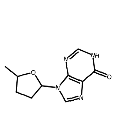 CC1CCC(n2cnc3c(=O)[nH]cnc32)O1